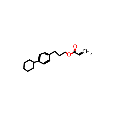 C=CC(=O)OCCCc1ccc(C2CCCCC2)cc1